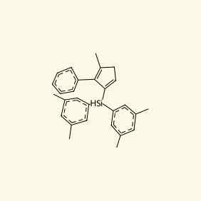 CC1=C(c2ccccc2)C([SiH](c2cc(C)cc(C)c2)c2cc(C)cc(C)c2)=CC1